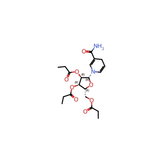 CCC(=O)OC[C@H]1O[C@@H](N2C=CCC(C(N)=O)=C2)[C@H](OC(=O)CC)[C@@H]1OC(=O)CC